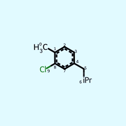 Cc1ccc(CC(C)C)cc1Cl